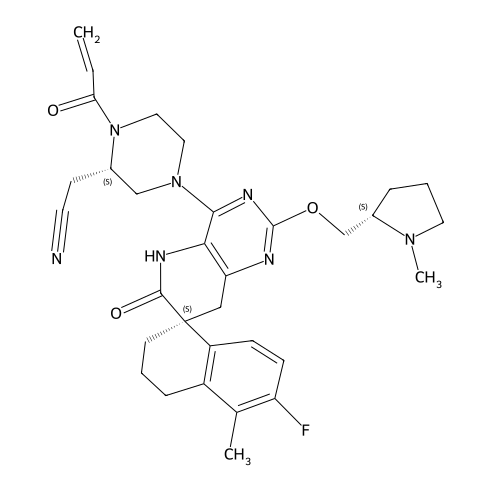 C=CC(=O)N1CCN(c2nc(OC[C@@H]3CCCN3C)nc3c2NC(=O)[C@@]2(CCCc4c2ccc(F)c4C)C3)C[C@@H]1CC#N